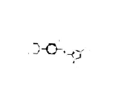 CCN(CC)c1ccc(N=NC2=NN(C)CN2C)cc1.I